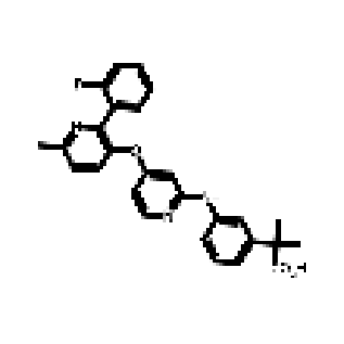 Cc1ccc(Oc2ccnc(Nc3cccc(C(C)(C)C(=O)O)c3)c2)c(-c2ccccc2F)n1